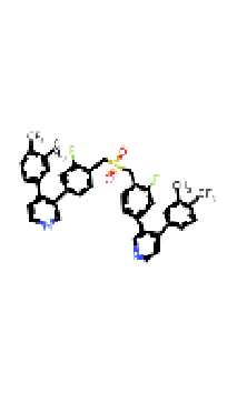 Cc1cc(-c2ccncc2-c2ccc(CS(=O)(=O)Cc3ccc(-c4cnccc4-c4ccc(C(F)(F)F)c(C)c4)cc3F)c(F)c2)ccc1C(F)(F)F